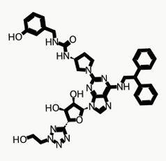 O=C(NCc1cccc(O)c1)N[C@@H]1CCN(c2nc(NCC(c3ccccc3)c3ccccc3)c3ncn([C@@H]4O[C@H](c5nnn(CCO)n5)[C@@H](O)[C@H]4O)c3n2)C1